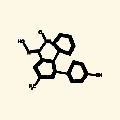 Cc1ccccc1-c1c(C(=NO)NCl)cc(C(F)(F)F)cc1-c1ccc(O)cc1